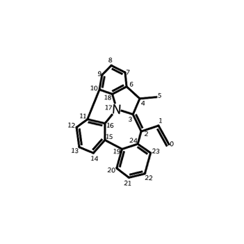 C=CC1=C2C(C)c3cccc4c5cccc(c5n2c34)-c2ccccc21